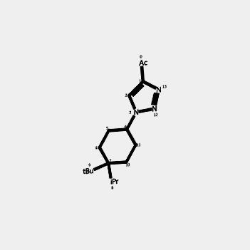 CC(=O)c1cn(C2CCC(C(C)C)(C(C)(C)C)CC2)nn1